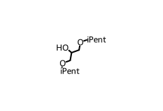 CCCC(C)OCC(O)COC(C)CCC